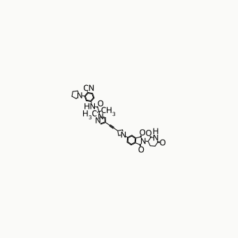 CC(C)(C(=O)Nc1ccc(C#N)c(N2CCCC2)c1)n1cc(C#CC2CN(c3ccc4c(c3)C(=O)N(C3CCC(=O)NC3=O)C4=O)C2)cn1